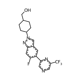 OCC1CCC(n2cc3cc(-c4cncc(C(F)(F)F)n4)c(F)cc3n2)CC1